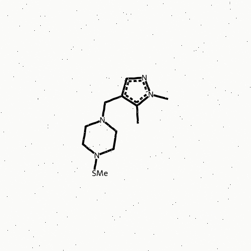 CSN1CCN(Cc2cnn(C)c2C)CC1